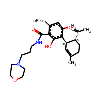 C=C(C)[C@@H]1CCC(C)=C[C@H]1c1c(O)cc(CCCCC)c(C(=O)NCCCN2CCOCC2)c1O